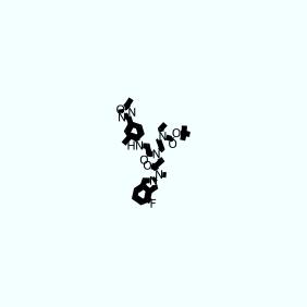 CCN(CCN(CC(=O)N(C)N1Cc2cccc(F)c2C1)C(=O)CNc1ccc(-c2noc(C)n2)cc1C)C(=O)OC(C)(C)C